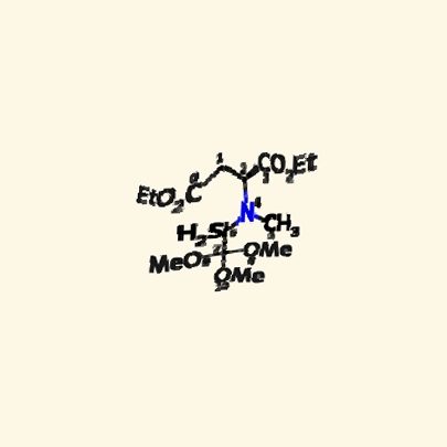 CCOC(=O)C[C@@H](C(=O)OCC)N(C)[SiH2]C(OC)(OC)OC